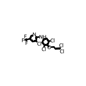 FC(F)(F)c1cnc(Nc2cc(Cl)c(OCC=C(Cl)Cl)c(Cl)c2)c(Cl)c1